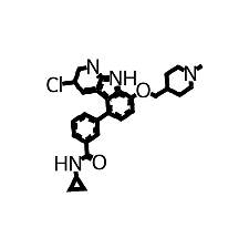 CN1CCC(COc2ccc(-c3cccc(C(=O)NC4CC4)c3)c3c4c([nH]c23)=NCC(Cl)C=4)CC1